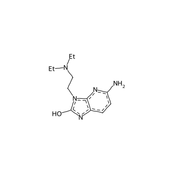 CCN(CC)CCn1c(O)nc2ccc(N)nc21